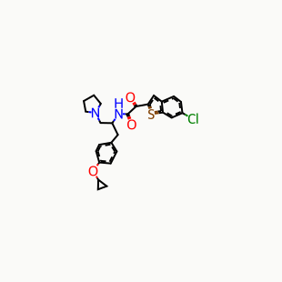 O=C(NC(Cc1ccc(OC2CC2)cc1)CN1CCCC1)C(=O)c1cc2ccc(Cl)cc2s1